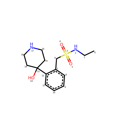 CCNS(=O)(=O)Cc1ccccc1C1(O)CCNCC1